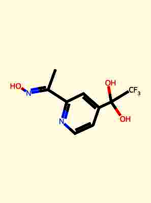 C/C(=N\O)c1cc(C(O)(O)C(F)(F)F)ccn1